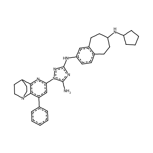 Nc1nc(Nc2ccc3c(c2)CCC(NC2CCCC2)CC3)nn1-c1cc(-c2ccccc2)c2c(n1)C1CCN2CC1